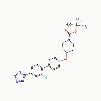 CC(C)(C)OC(=O)N1CCC(Oc2ccc(-c3ccc(-n4cnnn4)cc3F)cc2)CC1